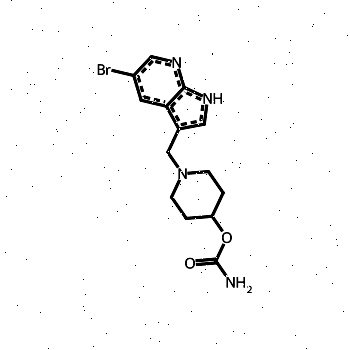 NC(=O)OC1CCN(Cc2c[nH]c3ncc(Br)cc23)CC1